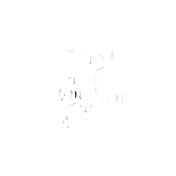 Cc1cc(F)ccc1CCNc1ncc(C#N)c(N[C@@H]2C[C@H](O)C2(C)C)n1